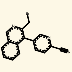 N#Cc1ccc(-c2c(CBr)ncc3ccccc23)cn1